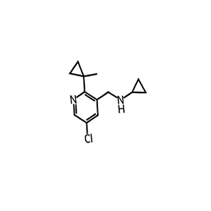 CC1(c2ncc(Cl)cc2CNC2CC2)CC1